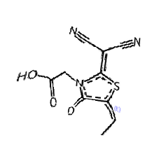 C/C=c1/sc(=C(C#N)C#N)n(CC(=O)O)c1=O